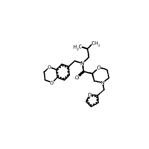 CC(C)CN(Cc1ccc2c(c1)OCCO2)C(=O)C1CN(Cc2ccco2)CCO1